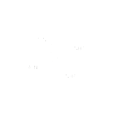 CC(=O)Nc1ccc(C(c2ccc(NC(C)=O)cc2)(c2ccc(NC(C)=O)cc2)c2ccc(NC(C)=O)cc2)cc1